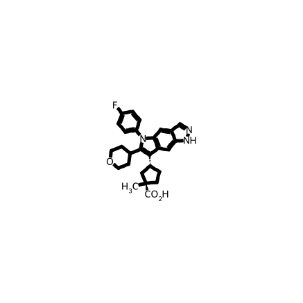 C[C@@]1(C(=O)O)CC[C@@H](c2c(C3CCOCC3)n(-c3ccc(F)cc3)c3cc4cn[nH]c4cc23)C1